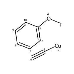 C#[C][Cu].COc1ccccc1